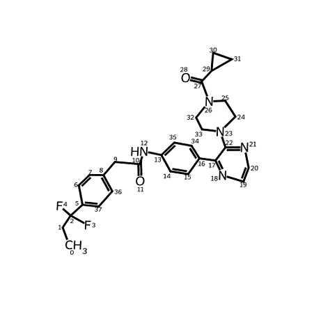 CCC(F)(F)c1ccc(CC(=O)Nc2ccc(-c3nccnc3N3CCN(C(=O)C4CC4)CC3)cc2)cc1